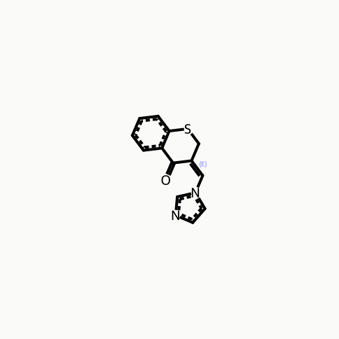 O=C1/C(=C\n2ccnc2)CSc2ccccc21